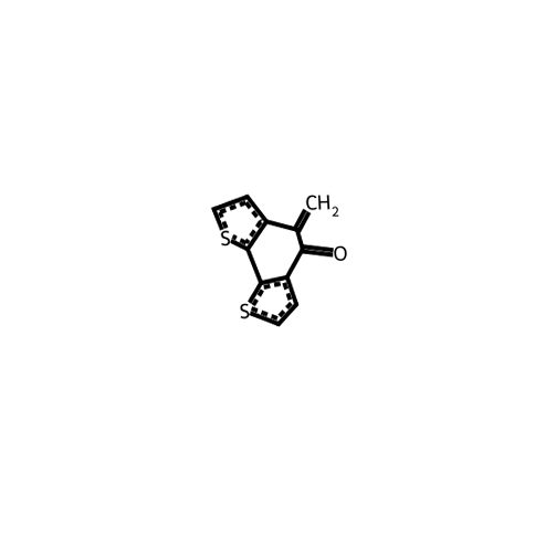 C=C1C(=O)c2ccsc2-c2sccc21